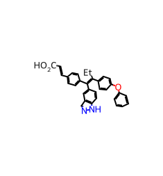 CCC(=C(c1ccc(C=CC(=O)O)cc1)c1ccc2[nH]ncc2c1)c1ccc(Oc2ccccc2)cc1